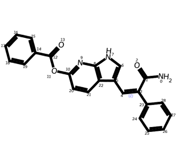 NC(=O)/C(=C\c1c[nH]c2nc(OC(=O)c3ccccc3)ccc12)c1ccccc1